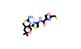 CC1(C)CC2CSC(N)=N[C@]2(c2nc(NC(=O)c3coc(CF)n3)cs2)CO1